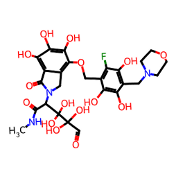 CNC(=O)C(N1Cc2c(OCc3c(O)c(O)c(CN4CCOCC4)c(O)c3F)c(O)c(O)c(O)c2C1=O)C(O)(O)C(O)(O)C=O